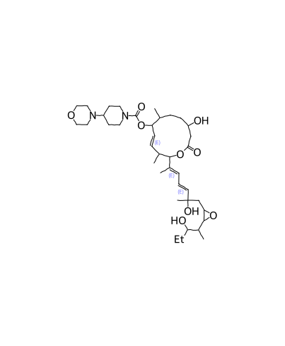 CCC(O)C(C)C1OC1CC(C)(O)/C=C/C=C(\C)C1OC(=O)CC(O)CCC(C)C(OC(=O)N2CCC(N3CCOCC3)CC2)/C=C/C1C